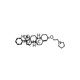 C[C@]12CC[C@H]3[C@@H](CCC4=C[C@@H](OCCN5CCCC5)CC[C@@]43C)[C@@]1(O)C=C[C@]2(O)c1ccccc1